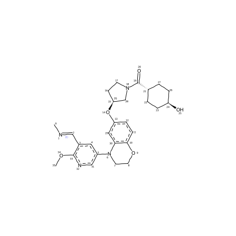 C/N=C/c1cc(N2CCOc3ccc(O[C@H]4CCN(C(=O)[C@H]5CC[C@H](O)CC5)C4)cc32)cnc1OC